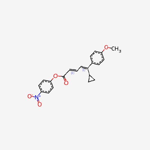 COc1ccc(/C(=C/C=C/C(=O)Oc2ccc([N+](=O)[O-])cc2)C2CC2)cc1